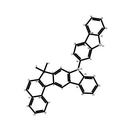 CC1(C)c2cc3c(cc2-c2c1ccc1ccccc21)c1ccccc1n3-c1ccc2c(c1)oc1ccccc12